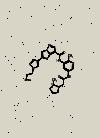 COCCn1cc(-c2cn3ncc(C(=O)Nc4cc(NC(=O)CN5CCC[C@H]5C)cnc4C)c3s2)cn1